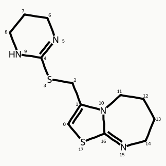 C1=C(CSC2=NCCCN2)N2CCCCN=C2S1